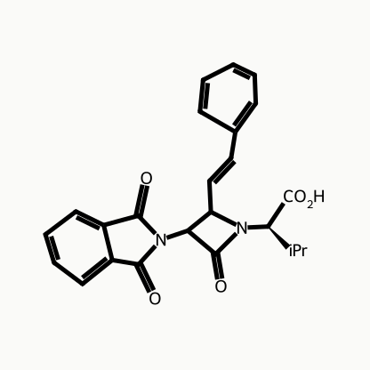 CC(C)[C@H](C(=O)O)N1C(=O)C(N2C(=O)c3ccccc3C2=O)C1C=Cc1ccccc1